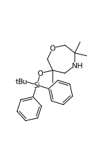 CC1(C)COCC(C)(O[Si](c2ccccc2)(c2ccccc2)C(C)(C)C)CN1